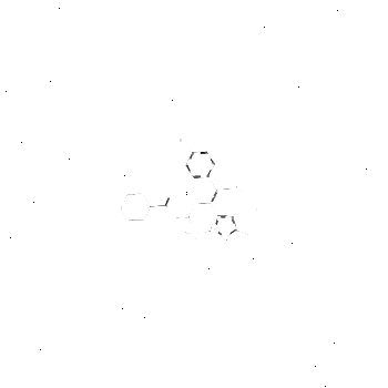 Cc1nn(C)c(/C(OC(C)OC(=O)C2CCCCC2)=C(\C#N)c2ccc(C(C)(C)C)cc2)c1C